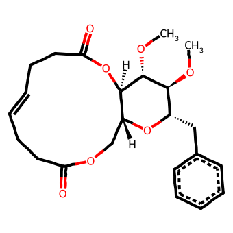 CO[C@@H]1[C@@H](OC)[C@H](Cc2ccccc2)O[C@@H]2COC(=O)CC/C=C/CCC(=O)O[C@@H]12